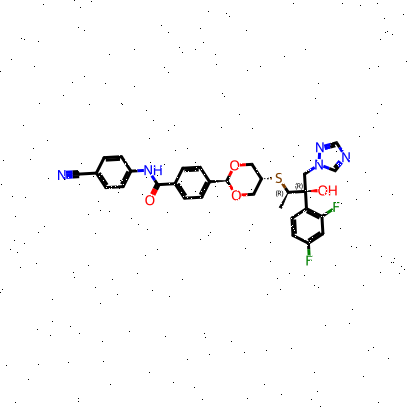 C[C@@H](S[C@H]1CO[C@H](c2ccc(C(=O)Nc3ccc(C#N)cc3)cc2)OC1)[C@](O)(Cn1cncn1)c1ccc(F)cc1F